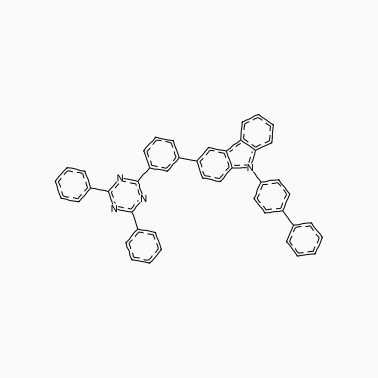 c1ccc(-c2ccc(-n3c4ccccc4c4cc(-c5cccc(-c6nc(-c7ccccc7)nc(-c7ccccc7)n6)c5)ccc43)cc2)cc1